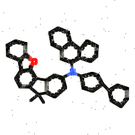 CC1(C)c2ccc(N(c3ccc(-c4ccccc4)cc3)c3cc4ccccc4c4ccccc34)cc2-c2c1ccc1c2oc2ccccc21